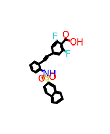 O=C(O)c1c(F)cc(C#Cc2ccccc2NS(=O)(=O)c2ccc3ccccc3c2)cc1F